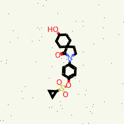 O=C1N(c2ccc(OS(=O)(=O)C3CC3)cc2)CCC12CCC(O)CC2